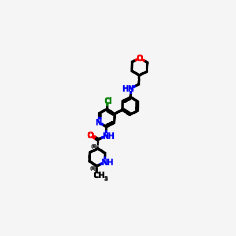 C[C@H]1CC[C@H](C(=O)Nc2cc(-c3cccc(NCC4CCOCC4)c3)c(Cl)cn2)CN1